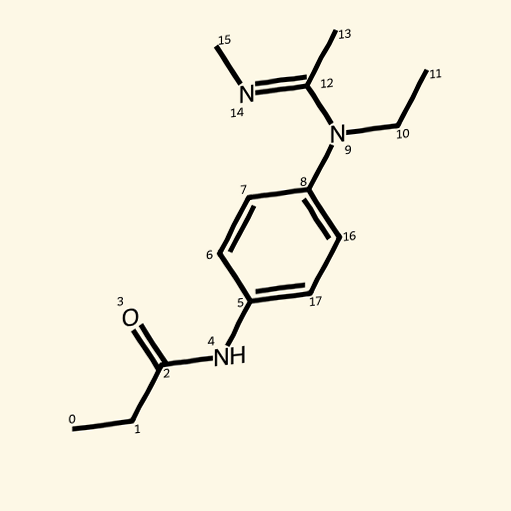 CCC(=O)Nc1ccc(N(CC)C(C)=NC)cc1